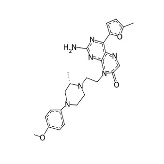 COc1ccc(N2CCN(CCn3c(=O)cnc4c(-c5ccc(C)o5)nc(N)nc43)[C@@H](C)C2)cc1